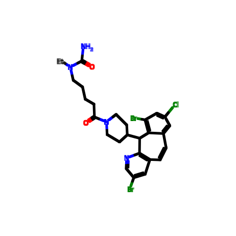 CCN(CCCCC(=O)N1CCC(C2c3ncc(Br)cc3C=Cc3cc(Cl)cc(Br)c32)CC1)C(N)=O